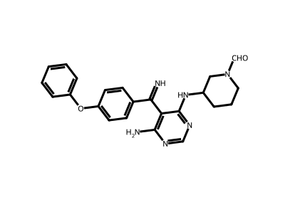 N=C(c1ccc(Oc2ccccc2)cc1)c1c(N)ncnc1NC1CCCN(C=O)C1